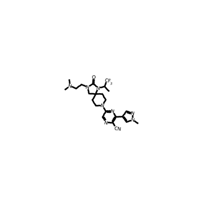 CC(N1C(=O)N(CCN(C)C)CC12CCN(c1cnc(C#N)c(-c3cnn(C)c3)n1)CC2)C(F)(F)F